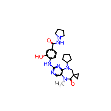 CN1C(=O)C2(CC2)CN(C2CCCC2)c2nc(Nc3ccc(C(=O)NN4CCCC4)cc3O)ncc21